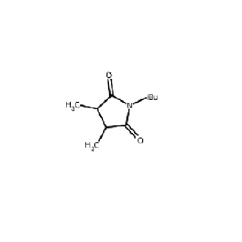 CCC(C)N1C(=O)C(C)C(C)C1=O